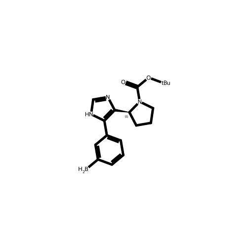 Bc1cccc(-c2[nH]cnc2[C@@H]2CCCN2C(=O)OC(C)(C)C)c1